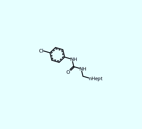 CCCCCCCCNC(=O)Nc1ccc(Cl)cc1